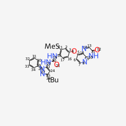 CSc1cc(Oc2ccnc3[nH]c(=O)cnc23)ccc1NC(=O)Nc1cc(C(C)(C)C)nn1-c1ccccc1